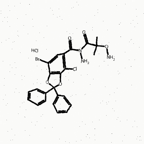 CC(C)(ON)C(=O)N(N)C(=O)c1cc(Br)c2c(c1Cl)OC(c1ccccc1)(c1ccccc1)O2.Cl